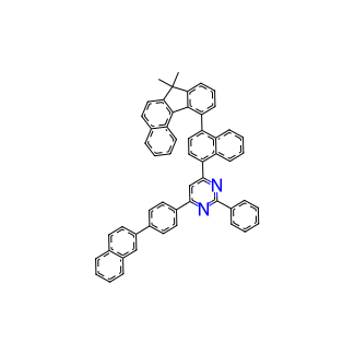 CC1(C)c2cccc(-c3ccc(-c4cc(-c5ccc(-c6ccc7ccccc7c6)cc5)nc(-c5ccccc5)n4)c4ccccc34)c2-c2c1ccc1ccccc21